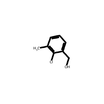 Cc1cccc([CH]O)c1Cl